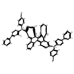 Cc1ccc(N(c2ccc(-c3ccccc3)cc2)c2ccc3c(c2)c2ccccc2c2c4ccc(N(c5ccc(C)cc5)c5ccc(-c6ccccc6)cc5)cc4c4ccccc4c32)cc1